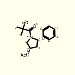 CCC(C)(C)C(=O)N1C[C@H](OC(C)=O)C[C@H]1c1ccccc1